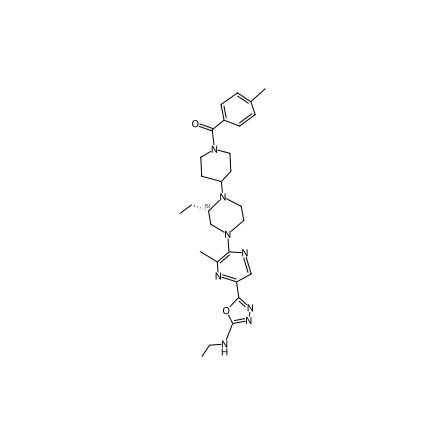 CCNc1nnc(-c2cnc(N3CCN(C4CCN(C(=O)c5ccc(C)cc5)CC4)[C@@H](CC)C3)c(C)n2)o1